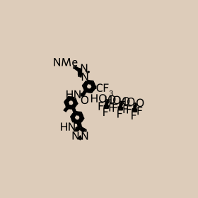 CNCc1cn(-c2cc(C(=O)Nc3ccc(C)c(-c4ccc5c(c4)[nH]c4ncncc45)c3)cc(C(F)(F)F)c2)cn1.O=C(O)C(F)(F)F.O=C(O)C(F)(F)F.O=C(O)C(F)(F)F